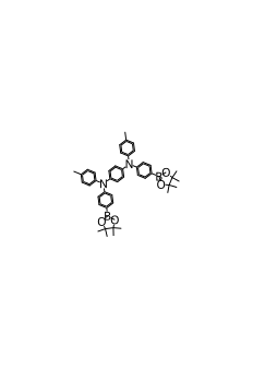 Cc1ccc(N(c2ccc(B3OC(C)(C)C(C)(C)O3)cc2)c2ccc(N(c3ccc(C)cc3)c3ccc(B4OC(C)(C)C(C)(C)O4)cc3)cc2)cc1